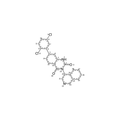 O=c1[nH]c2cc(-c3cc(Cl)ccc3Cl)ccc2c(=O)n1-c1cncc2ccccc12